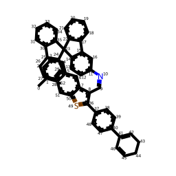 Cc1cccc2cc3c(/C=N\c4ccc5c(c4)-c4ccccc4C54C5=C(CCC=C5)c5ccccc54)c(-c4ccc(C5=CCCC=C5)cc4)sc3cc12